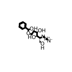 [N-]=[N+]=N[C@H](CO)[C@H]1O[C@@H]2OC(c3ccccc3)O[C@@H]2[C@H]1O